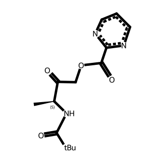 C[C@H](NC(=O)C(C)(C)C)C(=O)COC(=O)c1ncccn1